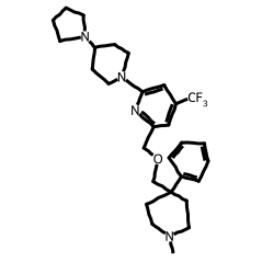 CN1CCC(COCc2cc(C(F)(F)F)cc(N3CCC(N4CCCC4)CC3)n2)(c2ccccc2)CC1